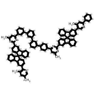 Cc1cnc(-c2ccc3c(c2)-c2ccccc2C32c3ccccc3-c3cc(-c4nc(C)cc(-c5cccc(-c6cccc(-c7cccc(-c8ccc(-c9cc(C)nc(-c%10ccc%11c(c%10)-c%10ccccc%10C%11%10c%11ccccc%11-c%11cc(-c%12cnc(-c%13ccccc%13)cc%12C)ccc%11%10)n9)cc8)c7)c6)c5)n4)ccc32)c(C)c1